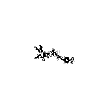 CCC[CH2][Sn]([CH2]CCC)([CH2]CCC)[c]1sc2c(NS(=O)(=O)CCNC(=O)OCc3ccc([N+](=O)[O-])cc3)ncn2c1C(C)=O